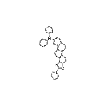 c1ccc(-c2nc3c(ccc4c5ccc6ccc(N(c7ccccc7)c7ccccc7)cc6c5ccc43)o2)cc1